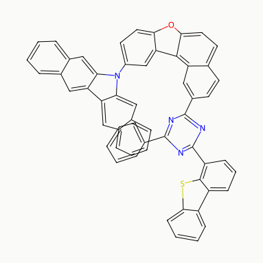 c1ccc(-c2nc(-c3ccc4ccc5oc6ccc(-n7c8cc9ccccc9cc8c8cc9ccccc9cc87)cc6c5c4c3)nc(-c3cccc4c3sc3ccccc34)n2)cc1